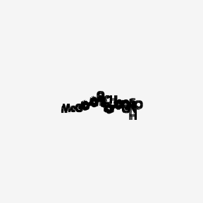 COc1ccc(-c2ccc(C(=O)N(C)Cc3cccc(-c4ccc(CC5SC(=O)NC5=O)cc4)c3)cc2)cc1